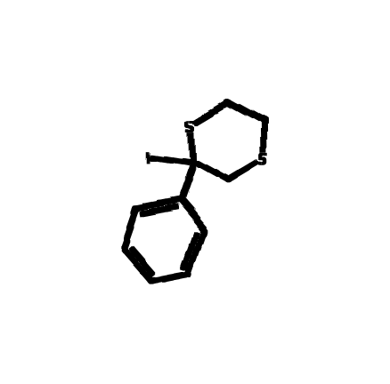 IC1(c2ccccc2)CSCCS1